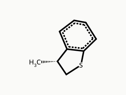 C[C@H]1CSc2ccccc21